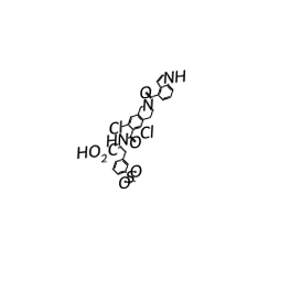 CS(=O)(=O)c1cccc(CC(NC(=O)c2c(Cl)cc3c(c2Cl)CCN(C(=O)c2cccc4[nH]ccc24)C3)C(=O)O)c1